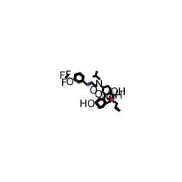 C=CCN1CC[C@]23c4c5ccc(O)c4OC2C(N(CC(C)C)C(=O)/C=C/c2cccc(OC(F)(F)F)c2)CC[C@@]3(O)[C@H]1C5